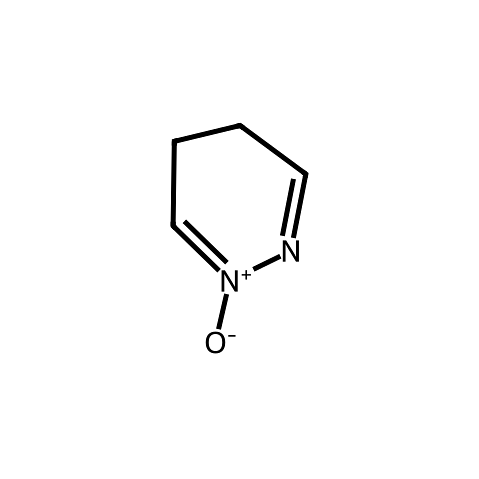 [O-][N+]1=CCCC=N1